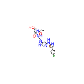 C=CC(=O)N1C[C@@H](O)C[C@H]1C(=O)NCCn1cnc2cnc(Nc3ncc(-c4ccc(F)cc4)s3)cc21